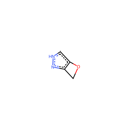 [c]1[nH]nc2c1OC2